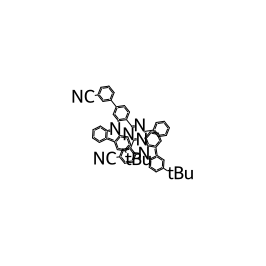 CC(C)(C)c1ccc2c(c1)c1ccccc1n2-c1ccc(C#N)cc1-c1nc(-c2ccccc2)nc(-c2ccc(-c3cccc(C#N)c3)cc2-n2c3ccccc3c3cc(C(C)(C)C)ccc32)n1